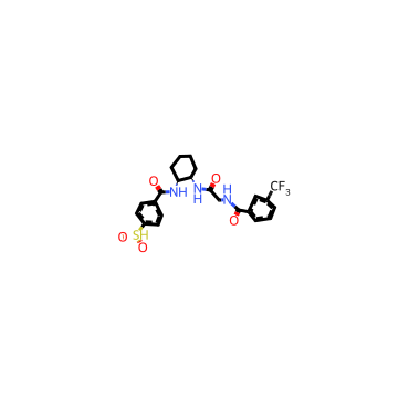 O=C(CNC(=O)c1cccc(C(F)(F)F)c1)N[C@H]1CCCC[C@H]1NC(=O)c1ccc([SH](=O)=O)cc1